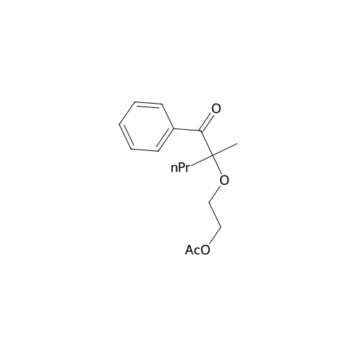 CCCC(C)(OCCOC(C)=O)C(=O)c1ccccc1